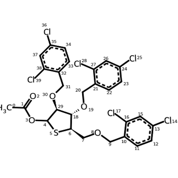 CC(=O)OC1S[C@H](COCc2ccc(Cl)cc2Cl)[C@@H](OCc2ccc(Cl)cc2Cl)[C@@H]1OCc1ccc(Cl)cc1Cl